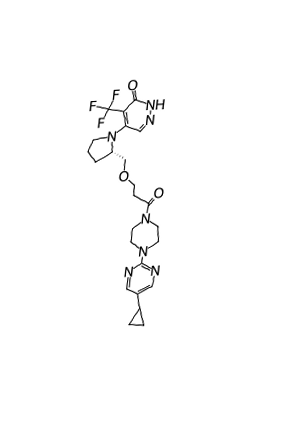 O=C(CCOC[C@@H]1CCCN1c1cn[nH]c(=O)c1C(F)(F)F)N1CCN(c2ncc(C3CC3)cn2)CC1